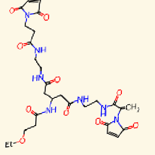 C=C(C(=O)NCCNC(=O)CC(CC(=O)NCCNC(=O)CCN1C(=O)C=CC1=O)NC(=O)CCOCC)N1C(=O)C=CC1=O